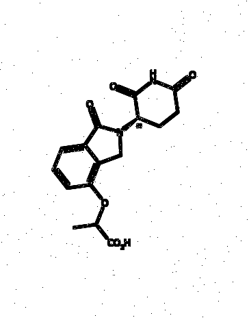 CC(Oc1cccc2c1CN([C@@H]1CCC(=O)NC1=O)C2=O)C(=O)O